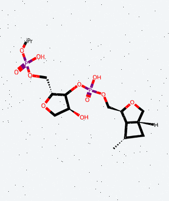 CC(C)OP(=O)(O)OC[C@H]1OC[C@H](O)C1OP(=O)(O)OC[C@H]1OC[C@@H]2C[C@H](C)C21